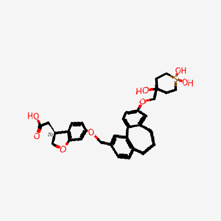 O=C(O)C[C@@H]1COc2cc(OCc3ccc4c(c3)-c3ccc(OCC5(O)CCS(O)(O)CC5)cc3CCC4)ccc21